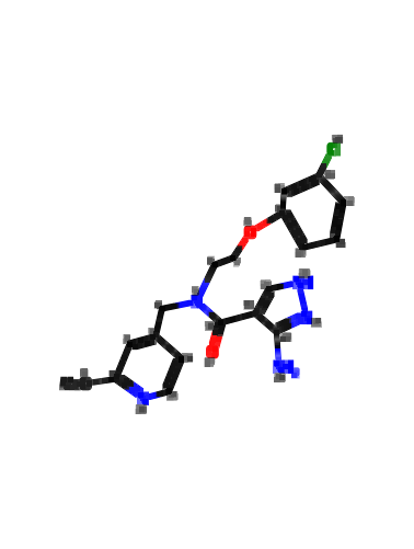 COc1cc(CN(CCOc2cccc(Cl)c2)C(=O)c2c[nH]nc2N)ccn1